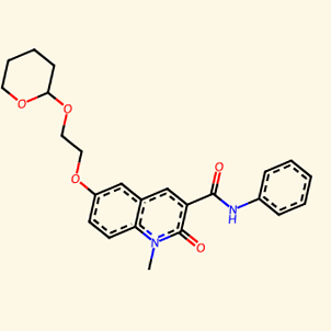 Cn1c(=O)c(C(=O)Nc2ccccc2)cc2cc(OCCOC3CCCCO3)ccc21